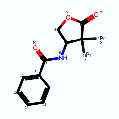 CCCC1(CCC)C(=O)OCC1NC(=O)c1ccccc1